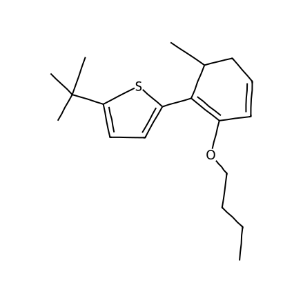 CCCCOC1=C(c2ccc(C(C)(C)C)s2)C(C)CC=C1